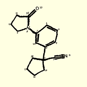 N#CC1(c2cccc(N3CCCC3=O)c2)CCCC1